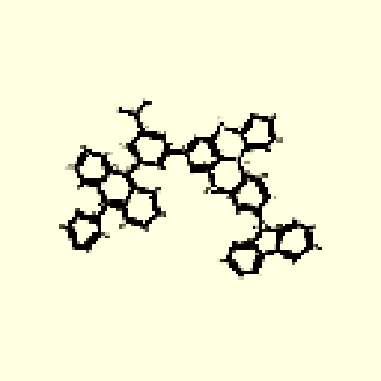 CC(C)c1cc(-c2cc3c4c(c2)Oc2cc(-n5c6ccccc6c6ccccc65)ccc2B4c2ccccc2O3)cc(-c2c3ccccc3c(-c3ccccc3)c3ccccc23)c1